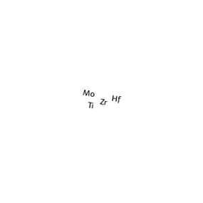 [Hf].[Mo].[Ti].[Zr]